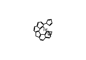 C1=CC(c2ccc3ccc4c(c3[c]2[Hf]=[C]2CCC2)-c2c(ccc3ccccc23)C4)C=C1